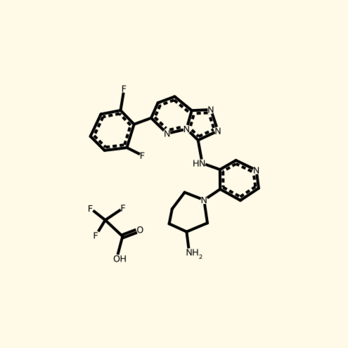 NC1CCCN(c2ccncc2Nc2nnc3ccc(-c4c(F)cccc4F)nn23)C1.O=C(O)C(F)(F)F